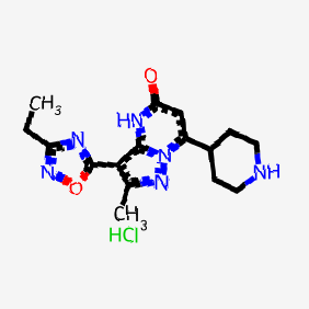 CCc1noc(-c2c(C)nn3c(C4CCNCC4)cc(=O)[nH]c23)n1.Cl